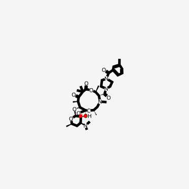 CO[C@]1(C)C[C@@H](C)CN(C)[C@@H](C(=O)N2CCN(C(=O)c3cccc(C)c3)CC2)[C@H](C)OC(=O)C(C)(C)C(=O)[C@H](C)[C@H]1O[C@@H]1O[C@H](C)C[C@H](N(C)C)[C@H]1O